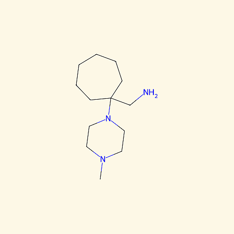 CN1CCN(C2(CN)CCCCCC2)CC1